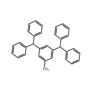 [CH2]c1cc(N(c2ccccc2)c2ccccc2)cc(N(c2ccccc2)c2ccccc2)c1